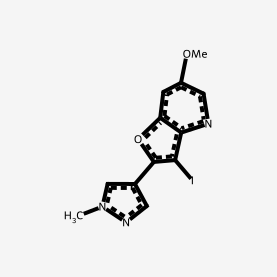 COc1cnc2c(I)c(-c3cnn(C)c3)oc2c1